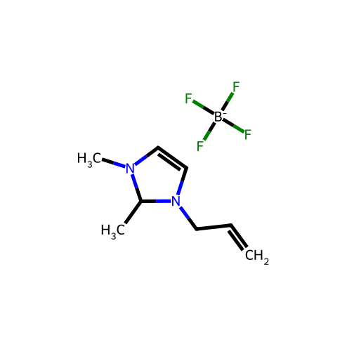 C=CCN1C=CN(C)C1C.F[B-](F)(F)F